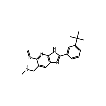 C=Nc1nc2[nH]c(-c3cccc(C(C)(C)C)c3)nc2cc1CNC